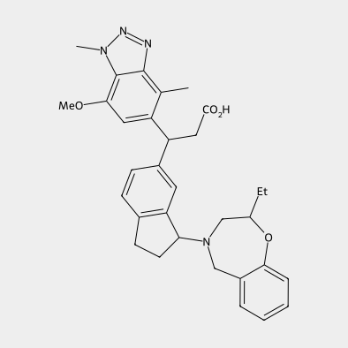 CCC1CN(C2CCc3ccc(C(CC(=O)O)c4cc(OC)c5c(nnn5C)c4C)cc32)Cc2ccccc2O1